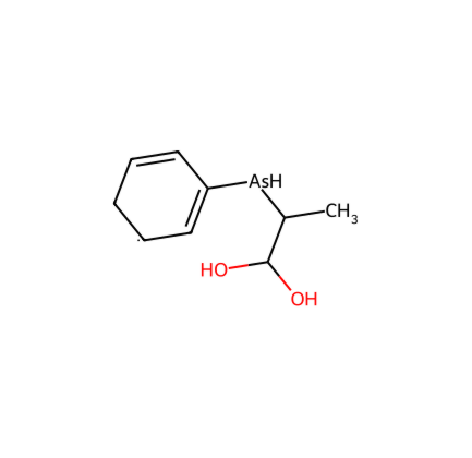 CC([AsH]C1=C[CH]CC=C1)C(O)O